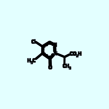 Cc1c(Cl)cnn(C(C)C(=O)O)c1=O